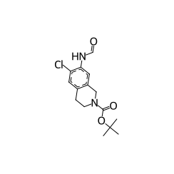 CC(C)(C)OC(=O)N1CCc2cc(Cl)c(NC=O)cc2C1